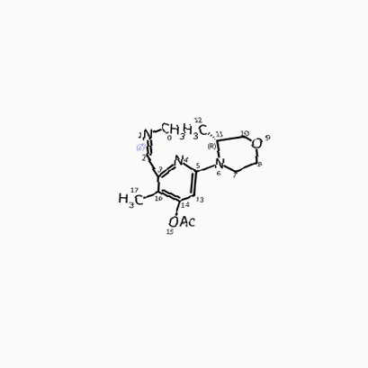 C/N=C\c1nc(N2CCOC[C@H]2C)cc(OC(C)=O)c1C